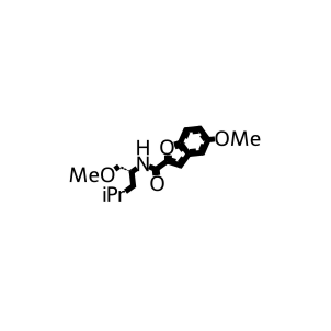 COC[C@@H](CC(C)C)NC(=O)c1cc2cc(OC)ccc2o1